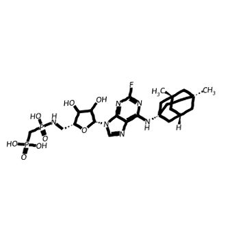 C[C@]12C[C@@H]3C[C@](C)(C1)C[C@@](Nc1nc(F)nc4c1ncn4[C@@H]1O[C@H](CNP(=O)(O)CP(=O)(O)O)C(O)C1O)(C3)C2